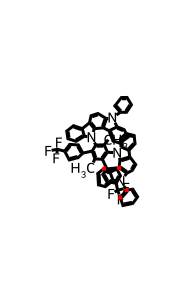 Cc1c(-c2ccc(C(F)(F)F)cc2)c(-n2c3ccccc3c3ccc4c(c5ccccc5n4-c4ccccc4)c32)c(C)c(-n2c3ccccc3c3ccc4c(c5ccccc5n4-c4ccccc4)c32)c1-c1ccc(C(F)(F)F)cc1